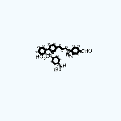 CC(C)(C)NC1CCC(N(C(=O)O)c2cc(C=CCn3nnc4cc(C=O)ccc43)ccc2-c2ccccc2)CC1